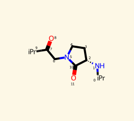 CC(C)N[C@H]1CCN(CC(=O)C(C)C)C1=O